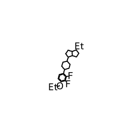 CCOc1ccc(C2CCC(C3CCC4C(CC)CCC43)CC2)c(F)c1F